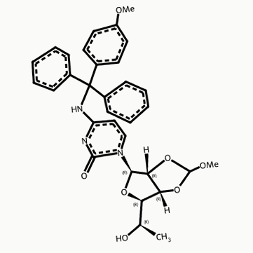 COc1ccc(C(Nc2ccn([C@@H]3O[C@H]([C@@H](C)O)[C@H]4OC(OC)O[C@H]43)c(=O)n2)(c2ccccc2)c2ccccc2)cc1